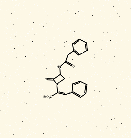 CCOC(=O)C(=Cc1ccccc1)N1CC(NC(=O)Cc2ccccc2)C1=O